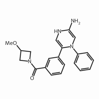 COC1CN(C(=O)c2cccc(C3=CNC(N)=CN3c3ccccc3)c2)C1